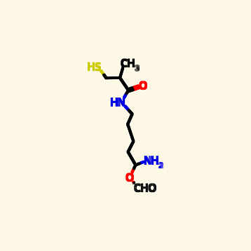 CC(CS)C(=O)NCCCCC(N)OC=O